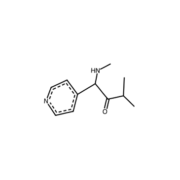 CNC(C(=O)C(C)C)c1ccncc1